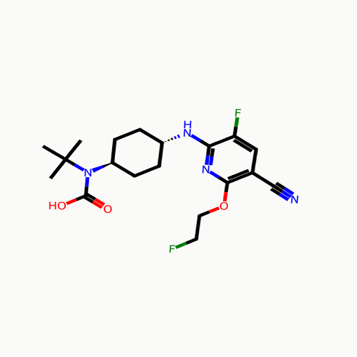 CC(C)(C)N(C(=O)O)[C@H]1CC[C@H](Nc2nc(OCCF)c(C#N)cc2F)CC1